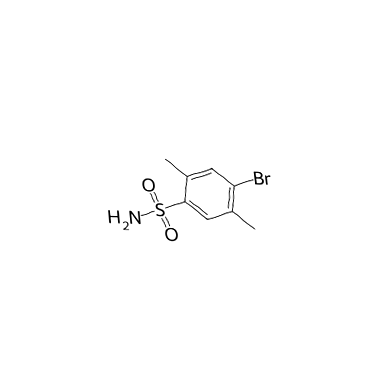 Cc1cc(S(N)(=O)=O)c(C)cc1Br